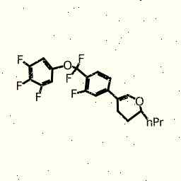 CCCC1CCC(c2ccc(C(F)(F)Oc3cc(F)c(F)c(F)c3)c(F)c2)=CO1